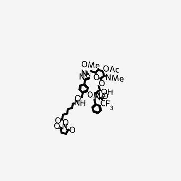 CNC1C(OCC(O)CN(Cc2ccccc2)C(=O)C(F)(F)F)OC(Cn2cc(-c3ccc(CONCCCCCC(=O)ON4C(=O)CCC4=O)c(OC)c3)nn2)[C@H](OC)C1OC(C)=O